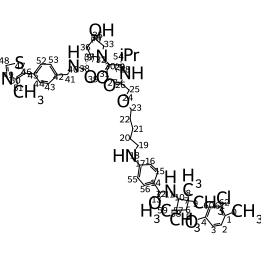 Cc1ccc(O[C@H]2C(C)(C)[C@H](NC(=O)c3ccc(NCCCCCOCC(=O)N[C@H](C(=O)N4C[C@H](O)C[C@H]4C(=O)NCc4ccc(-c5scnc5C)cc4)C(C)C)cc3)C2(C)C)cc1Cl